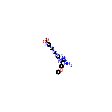 COC(=O)c1ccc(N2CC(N3CC(N4CC[C@H](n5nc(-c6ccc(Oc7ccccc7)cc6)c6c(N)ncnc65)[C@@H](F)C4)C3)C2)cn1